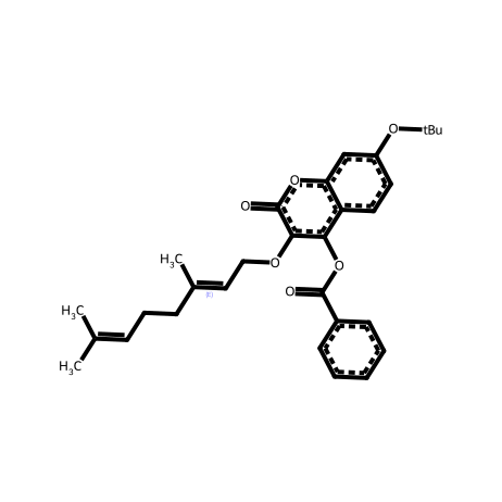 CC(C)=CCC/C(C)=C/COc1c(OC(=O)c2ccccc2)c2ccc(OC(C)(C)C)cc2oc1=O